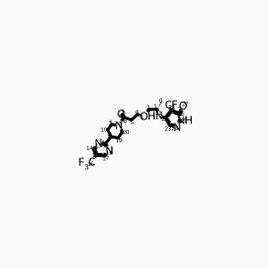 C[C@@H](COCCC(=O)N1CCC(c2ncc(C(F)(F)F)cn2)CC1)Nc1cn[nH]c(=O)c1C(F)(F)F